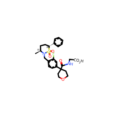 C[C@H]1CC[C@H](c2ccccc2)S(=O)(=O)N1Cc1ccc(C2(C(=O)NCC(=O)O)CCOCC2)cc1F